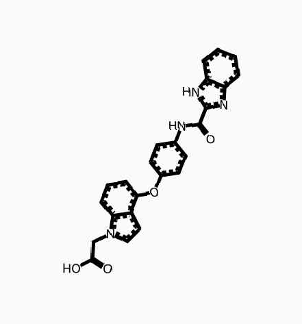 O=C(O)Cn1ccc2c(Oc3ccc(NC(=O)c4nc5ccccc5[nH]4)cc3)cccc21